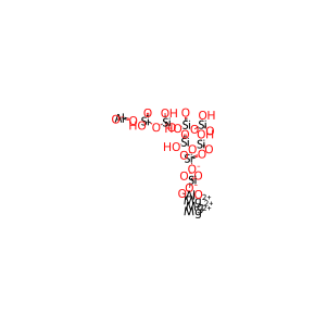 O=[Si](O)O[Si](=O)O.O=[Si](O)O[Si](=O)O.O=[Si](O)O[Si](=O)O.O=[Si]([O-])[O-].O=[Si]([O-])[O-].[Mg+2].[Mg+2].[Mg+2].[O]=[Al][O-].[O]=[Al][O-]